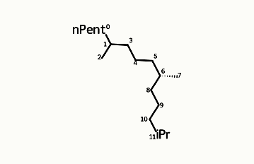 CCCCCC(C)CCC[C@H](C)CCCC(C)C